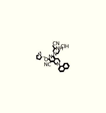 CN1CCC[C@H]1COc1nc(N2CCNC(CC#N)C2)c2c(c1C#N)CN(c1cccc3ccccc13)CC2.Cl